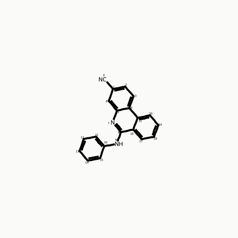 N#Cc1ccc2c(c1)nc(Nc1ccccc1)c1ccccc12